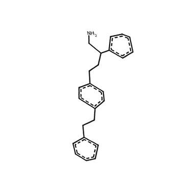 NCC(CCc1ccc(CCc2ccccc2)cc1)c1ccccc1